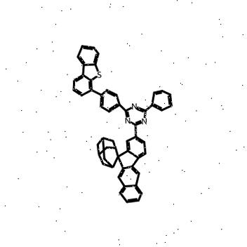 c1ccc(-c2nc(-c3ccc(-c4cccc5c4sc4ccccc45)cc3)nc(-c3ccc4c(c3)C3(c5cc6ccccc6cc5-4)C4CC5CC(C4)CC3C5)n2)cc1